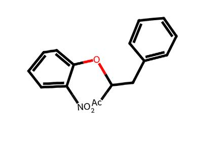 [CH2]C(=O)C(Cc1ccccc1)Oc1ccccc1[N+](=O)[O-]